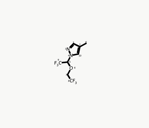 Cc1cnn(C(OCC(F)(F)F)C(F)(F)F)c1